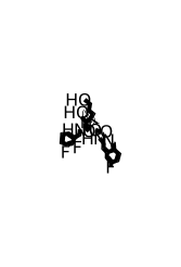 CN(C(=O)NCc1cccc(F)c1F)[C@H](COC(=O)Nc1cc2cc(F)ccc2cn1)C[C@H](O)CO